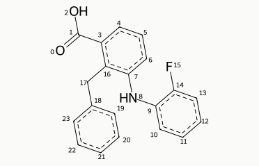 O=C(O)c1cccc(Nc2ccccc2F)c1Cc1ccccc1